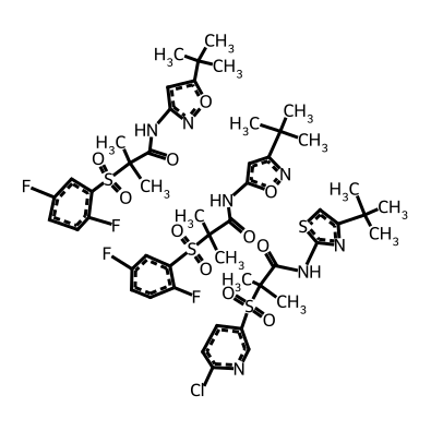 CC(C)(C)c1cc(NC(=O)C(C)(C)S(=O)(=O)c2cc(F)ccc2F)no1.CC(C)(C)c1cc(NC(=O)C(C)(C)S(=O)(=O)c2cc(F)ccc2F)on1.CC(C)(C)c1csc(NC(=O)C(C)(C)S(=O)(=O)c2ccc(Cl)nc2)n1